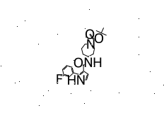 CC(C)(C)OC(=O)N1CCCC(NC(=O)c2cc[nH]c2-c2cccc(F)c2)CC1